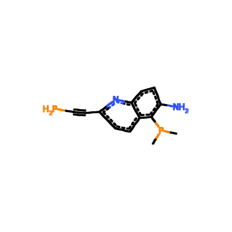 CP(C)c1c(N)ccc2nc(C#CP)ccc12